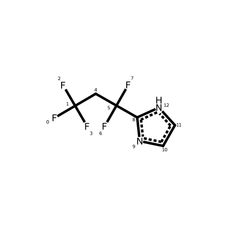 FC(F)(F)CC(F)(F)c1ncc[nH]1